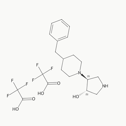 O=C(O)C(F)(F)F.O=C(O)C(F)(F)F.O[C@H]1CNC[C@@H]1N1CCC(Cc2ccccc2)CC1